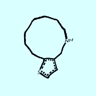 c1cc2c(s1)CCCCCCCNC2